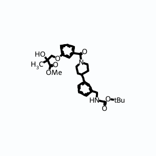 COC(=O)C(C)(O)COc1cccc(C(=O)N2CCC(c3cccc(CNC(=O)OC(C)(C)C)c3)CC2)c1